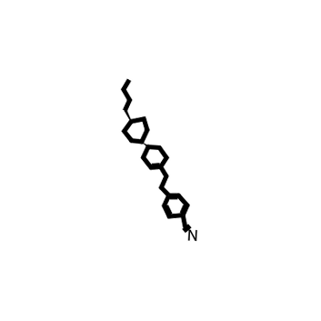 CCCC[C@H]1CC[C@H](C2CC=C(CCc3ccc(C#N)cc3)CC2)CC1